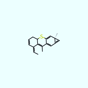 C/C=C1/C=CCC2SC3=C[C@@]4(C)C=C4C=C3C(C)=C12